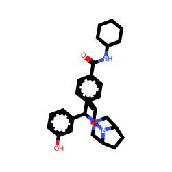 C=CCN1C2CCC1CN(C(c1ccc(C(=O)NC3CCCCC3)cc1)c1cccc(O)c1)C2